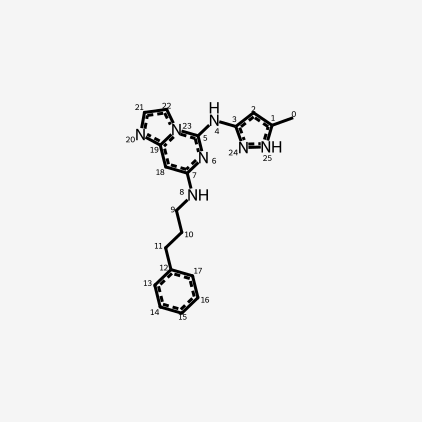 Cc1cc(Nc2nc(NCCCc3ccccc3)cc3nccn23)n[nH]1